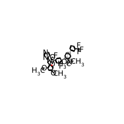 COc1ccc(CN(c2ccncn2)S(=O)(=O)c2cc(F)c(O[C@H]3CC[C@H](c4cccc(C(F)(F)F)c4)C[C@@H]3N(C)C)cc2F)c(OC)c1